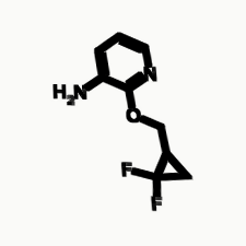 Nc1cccnc1OCC1CC1(F)F